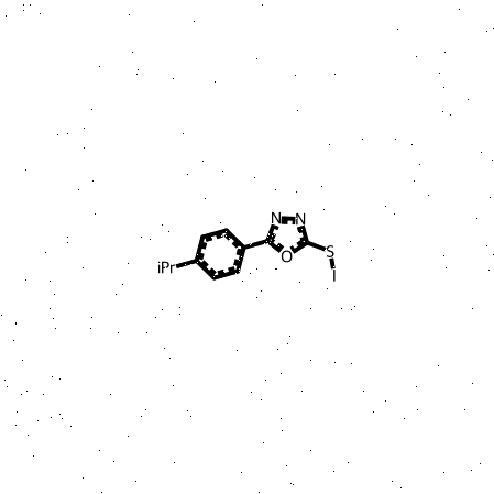 CC(C)c1ccc(-c2nnc(SI)o2)cc1